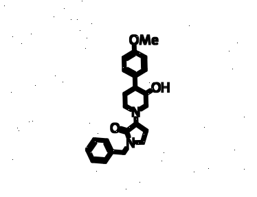 COc1ccc(C2CCN(C3CCN(Cc4ccccc4)C3=O)CC2O)cc1